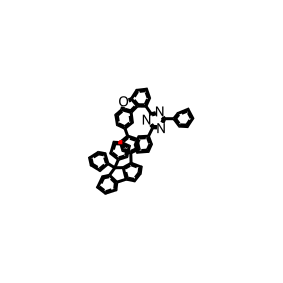 c1ccc(-c2nc(-c3ccccc3)nc(-c3cccc4oc5ccc(-c6ccc(-c7cccc8c7C(c7ccccc7)(c7ccccc7)c7ccccc7-8)cc6)cc5c34)n2)cc1